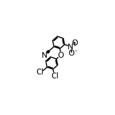 N#Cc1cccc([N+](=O)[O-])c1Oc1ccc(Cl)c(Cl)c1